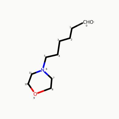 O=[C]CCCCCN1CCOCC1